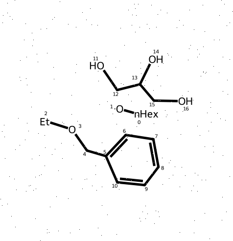 CCCCCC[O].CCOCc1ccccc1.OCC(O)CO